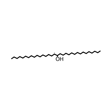 CCCCCCCCCCCCCCC[CH]C(O)CCCCCCCCCCCCCCC